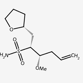 C=CC[C@H](OC)[C@@H](C[C@H]1CCCO1)S(N)(=O)=O